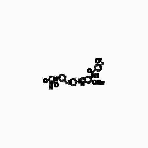 COc1cc2nn(C3CCN(Cc4cccc(N5CCC(=O)NC5=O)c4)CC3)cc2cc1NC(=O)c1cccc(C(F)(F)F)c1